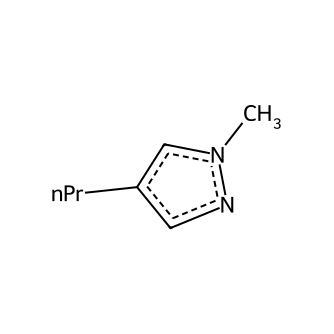 [CH2]CCc1cnn(C)c1